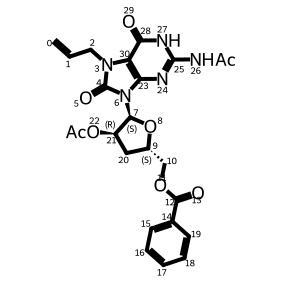 C=CCn1c(=O)n([C@H]2O[C@H](COC(=O)c3ccccc3)C[C@H]2OC(C)=O)c2nc(NC(C)=O)[nH]c(=O)c21